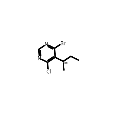 CC[C@@H](C)c1c(Cl)ncnc1Br